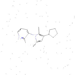 Cc1cc(C2CCCC2)c(C)n1-c1cccnc1C(=O)O